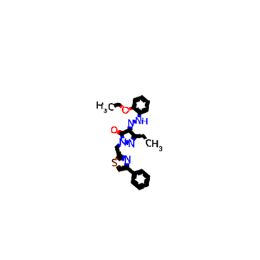 CCOc1ccccc1N/N=C1/C(=O)N(Cc2nc(-c3ccccc3)cs2)N=C1CC